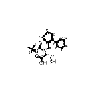 CC(C)(C)OC(=O)N(Cc1ccccc1-c1ccccc1)[C@H](CS)C(=O)O